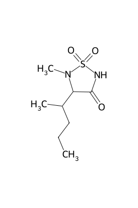 CCCC(C)C1C(=O)NS(=O)(=O)N1C